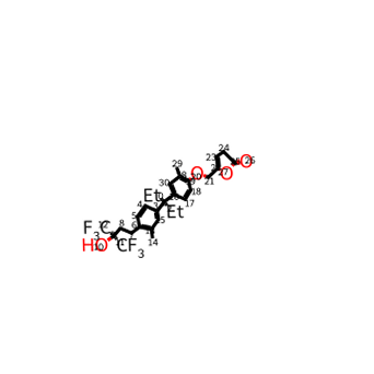 CCC(CC)(c1ccc(CCC(O)(C(F)(F)F)C(F)(F)F)c(C)c1)c1ccc(OCC2=CCC(=O)O2)c(C)c1